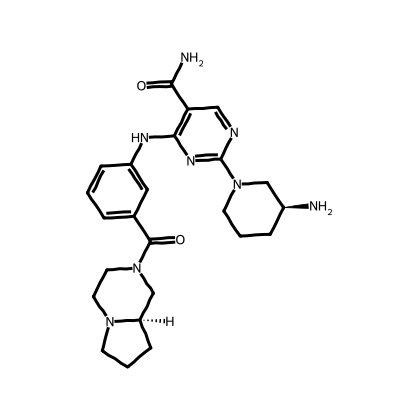 NC(=O)c1cnc(N2CCC[C@H](N)C2)nc1Nc1cccc(C(=O)N2CCN3CCC[C@@H]3C2)c1